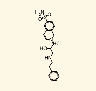 Cl.NS(=O)(=O)c1ccc2c(c1)C=CN(CC(O)CNCCc1ccccc1)C2